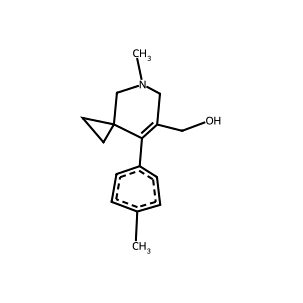 Cc1ccc(C2=C(CO)CN(C)CC23CC3)cc1